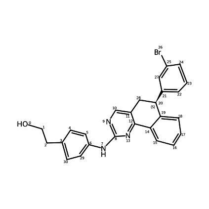 OCCc1ccc(Nc2ncc3c(n2)-c2ccccc2[C@H](c2cccc(Br)c2)C3)cc1